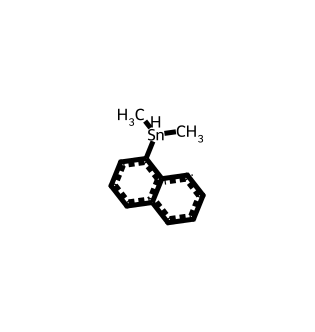 [CH3][SnH]([CH3])[c]1cccc2ccc[c]c12